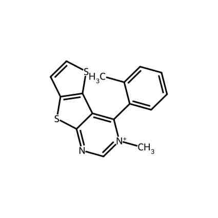 Cc1ccccc1-c1c2c(nc[n+]1C)sc1ccsc12